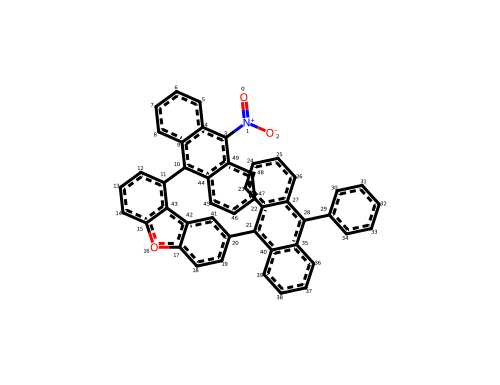 O=[N+]([O-])c1c2ccccc2c(-c2cccc3oc4ccc(-c5c6ccccc6c(-c6ccccc6)c6ccccc56)cc4c23)c2ccccc12